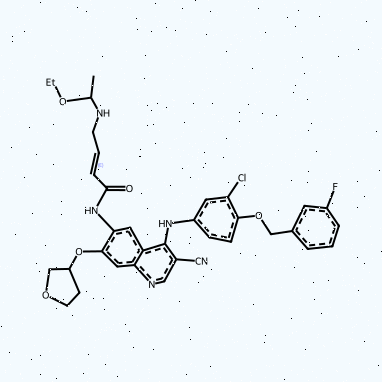 CCOC(C)NC/C=C/C(=O)Nc1cc2c(Nc3ccc(OCc4cccc(F)c4)c(Cl)c3)c(C#N)cnc2cc1OC1CCOC1